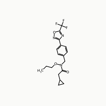 CCCON(Cc1ccc(-c2noc(C(F)(F)F)n2)cc1)C(=O)CC1CC1